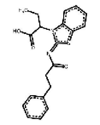 CCC(C(=O)O)n1/c(=N/C(=O)CCc2ccccc2)sc2ccccc21